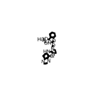 O=C(OCN1CCN=C1Nc1ccc2nccnc2c1Br)Oc1ccccc1CON(O)O